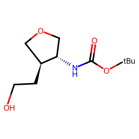 CC(C)(C)OC(=O)N[C@H]1COC[C@@H]1CCO